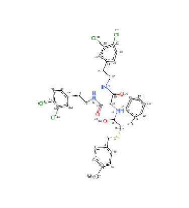 COc1ccc(CS[C@@H](Cc2ccccc2)C(=O)NC(C(=O)NCCc2ccc(Cl)c(Cl)c2)C(=O)NCCc2ccc(Cl)c(Cl)c2)cc1